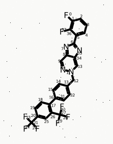 Fc1cccc(-c2nc3cnn(Cc4ccc(-c5ccc(C(F)(F)F)cc5C(F)(F)F)cc4)cc-3n2)c1F